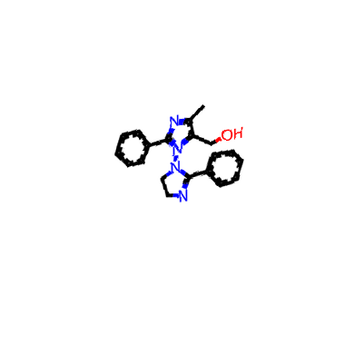 Cc1nc(-c2ccccc2)n(N2CCN=C2c2ccccc2)c1CO